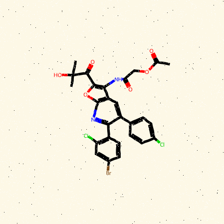 CC(=O)OCC(=O)Nc1c(C(=O)C(C)(C)O)oc2nc(-c3ccc(Br)cc3Cl)c(-c3ccc(Cl)cc3)cc12